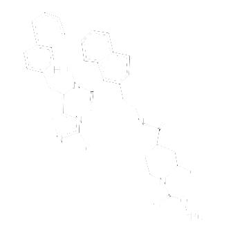 Cc1noc(C(Cc2ccc3ccccc3c2)N(C)C(=O)c2c(CCNC(=O)C3CCN(C(=O)OC(C)(C)C)C(C)C3)ccc3ccccc23)n1